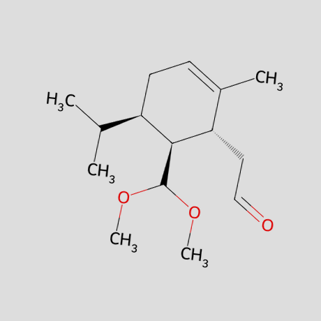 COC(OC)[C@H]1[C@@H](C(C)C)CC=C(C)[C@@H]1CC=O